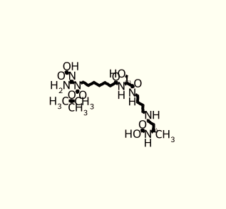 C[C@H](CCNCCCCNC(=O)[C@H](CO)NC(=O)CCCCCCN(C(=O)OC(C)(C)C)C(N)=NC(=O)O)NC(=O)O